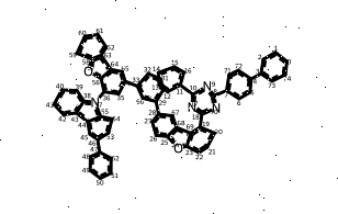 c1ccc(-c2ccc(-c3nc(-c4ccccc4)nc(-c4cccc5oc6ccc(-c7cccc(-c8cc(-n9c%10ccccc%10c%10cc(-c%11ccccc%11)ccc%109)c9oc%10ccccc%10c9c8)c7)cc6c45)n3)cc2)cc1